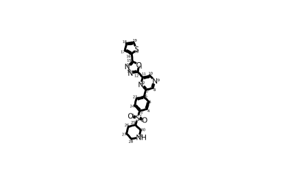 O=S(=O)(c1ccc(-c2cncc(-c3nnc(-c4cccs4)o3)n2)cc1)C1CCCNC1